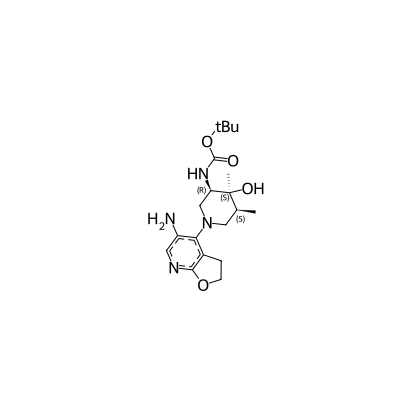 C[C@H]1CN(c2c(N)cnc3c2CCO3)C[C@@H](NC(=O)OC(C)(C)C)[C@@]1(C)O